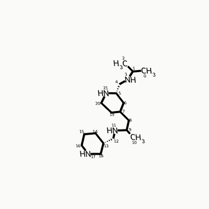 CC(C)NC[C@@H]1CC(CC(C)NC[C@H]2CCCNC2)CCN1